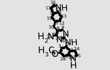 COc1cc(Nc2ncc(Cc3ccc4[nH]ccc4c3)c(N)n2)c2cc[nH]c2c1